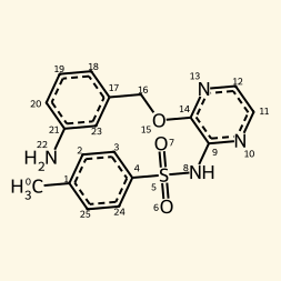 Cc1ccc(S(=O)(=O)Nc2nccnc2OCc2cccc(N)c2)cc1